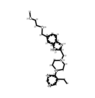 CCc1cncnc1N1CCN(Cc2nc3ccc(COCCOC)cc3[nH]2)CC1